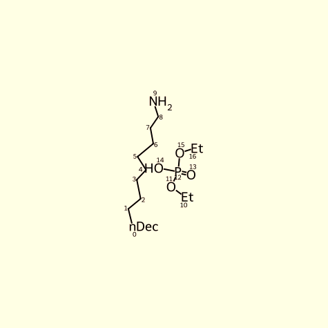 CCCCCCCCCCCCCCCCCCN.CCOP(=O)(O)OCC